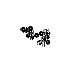 CC(NC(=O)[C@@H]1CCCN1C(=O)[C@H](NC(=O)N1CCOCC1)C1C=CC=CC1)c1ccc(-c2ccc(-c3cnc([C@@H]4CCCN4C(=O)C(NC(=O)N4CCOCC4)c4ccccc4)[nH]3)cc2)cc1